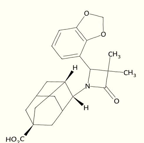 CC1(C)C(=O)N([C@@H]2C3CC4C[C@H]2C[C@@](C(=O)O)(C4)C3)C1c1cccc2c1OCO2